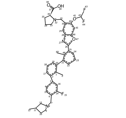 Cc1c(-c2ccc(CN3CCC(C)C3)c(F)c2)cccc1-c1cccc(-c2nc3cc(CN4CCC[C@H]4C(=O)O)c(OC(F)F)cc3o2)c1C